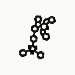 c1ccc(-c2nc(-c3ccccc3)nc(-c3ccc(-c4ccc5c(c4)C4(c6ccccc6-5)c5ccc6ccccc6c5Sc5c4ccc4ccccc54)cc3)n2)cc1